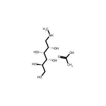 CC(=O)O.CNC[C@H](O)[C@@H](O)[C@H](O)[C@H](O)CO